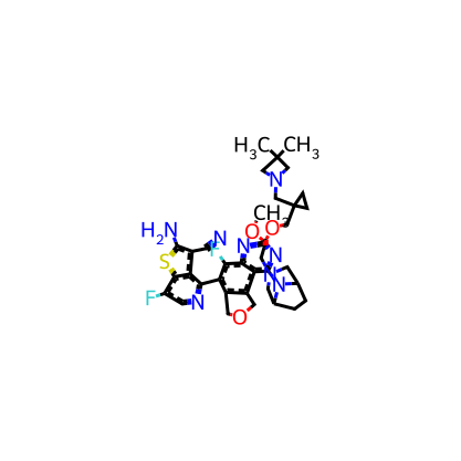 COCCN1CC2CCC(C1)N2c1nc(OCC2(CN3CC(C)(C)C3)CC2)nc2c(F)c(-c3ncc(F)c4sc(N)c(C#N)c34)c3c(c12)COC3